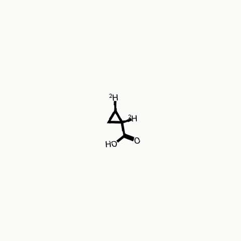 [2H]C1CC1([2H])C(=O)O